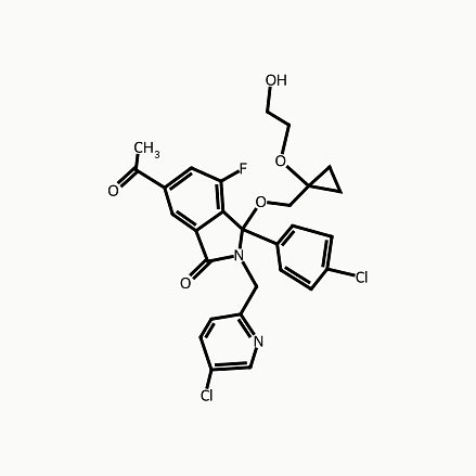 CC(=O)c1cc(F)c2c(c1)C(=O)N(Cc1ccc(Cl)cn1)C2(OCC1(OCCO)CC1)c1ccc(Cl)cc1